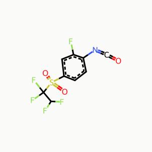 O=C=Nc1ccc(S(=O)(=O)C(F)(F)C(F)F)cc1F